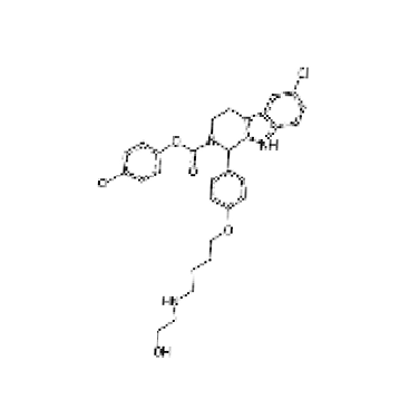 O=C(Oc1ccc(Cl)cc1)N1CCc2c([nH]c3ccc(Cl)cc23)C1c1ccc(OCCCCNCCO)cc1